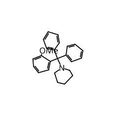 COc1ccccc1C(c1ccccc1)(c1ccccc1)N1CCCCC1